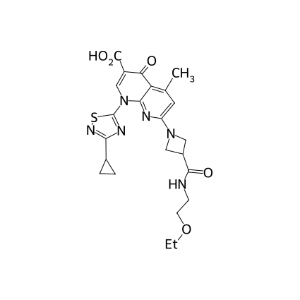 CCOCCNC(=O)C1CN(c2cc(C)c3c(=O)c(C(=O)O)cn(-c4nc(C5CC5)ns4)c3n2)C1